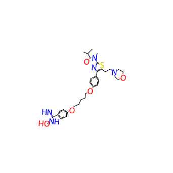 CC(C)C(=O)N(C)c1nc(-c2ccc(OCCCCCOc3ccc(C(=N)NO)cc3)cc2)c(CCN2CCOCC2)s1